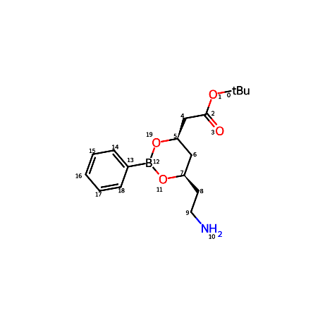 CC(C)(C)OC(=O)C[C@H]1C[C@@H](CCN)OB(c2ccccc2)O1